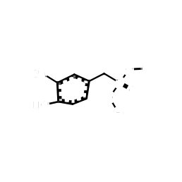 CCOP(=O)(Cc1ccc(O)c(C(C)(C)C)c1)OCC